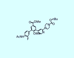 CCCCOC(=O)N1CCN(c2cc(-c3cc(C(=O)OC)cc(-c4ccc(NC(C)=O)c(F)c4)c3OC)ccn2)CC1